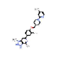 Cc1ccnc(N2CCC(COc3ccc(-c4cc5c(c(C#N)n4)NNN5C)cc3C(F)(F)F)CC2)c1